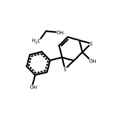 CCO.Oc1cccc(C23C=CC4SC4(O)C2S3)c1